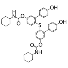 O=C(NC1CCCCC1)Oc1ccc(Sc2ccc(OC(=O)NC3CCCCC3)cc2-c2ccc(O)cc2)c(-c2ccc(O)cc2)c1